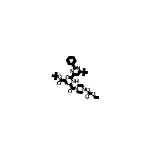 CCOC(=O)ON1CCN(C(=O)[C@H](CCC(=O)OC(C)(C)C)NC(=O)c2cc(C(C)(C)C)nc(-c3ccccc3)n2)CC1